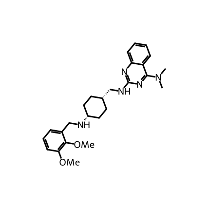 COc1cccc(CN[C@H]2CC[C@@H](CNc3nc(N(C)C)c4ccccc4n3)CC2)c1OC